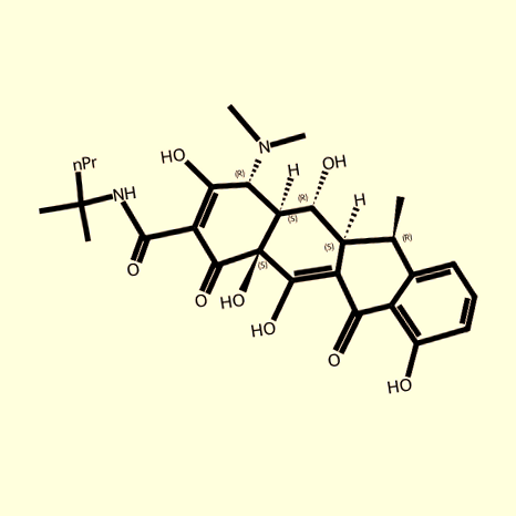 CCCC(C)(C)NC(=O)C1=C(O)[C@H](N(C)C)[C@H]2[C@H](O)[C@@H]3C(=C(O)[C@]2(O)C1=O)C(=O)c1c(O)cccc1[C@@H]3C